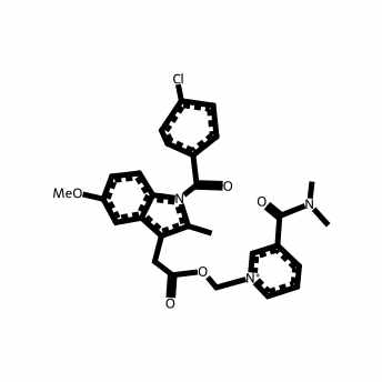 COc1ccc2c(c1)c(CC(=O)OC[n+]1cccc(C(=O)N(C)C)c1)c(C)n2C(=O)c1ccc(Cl)cc1